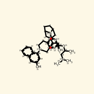 C=CC(=O)N1CC2CCC(C1)N2c1nc(OC(C)CN(C)C)nc2c1CCN(c1cc(O)cc3ccccc13)C2